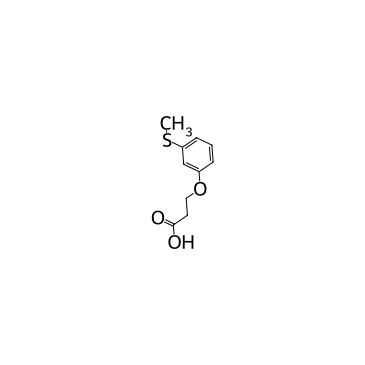 CSc1cccc(OCCC(=O)O)c1